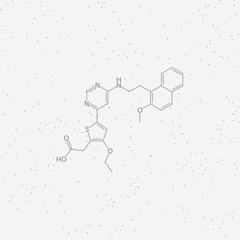 CCOc1cc(-c2cc(NCCc3c(OC)ccc4ccccc34)ncn2)sc1CC(=O)O